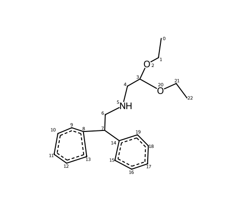 CCOC(CNCC(c1ccccc1)c1ccccc1)OCC